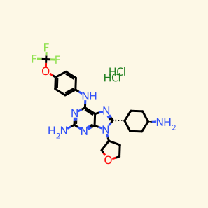 Cl.Cl.Nc1nc(Nc2ccc(OC(F)(F)F)cc2)c2nc([C@H]3CC[C@H](N)CC3)n(C3CCOC3)c2n1